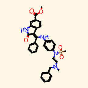 COC(=O)c1ccc2c(c1)NC(=O)C2=C(Nc1ccc(N(CCN(C)Cc2ccccc2)S(C)(=O)=O)cc1)c1ccccc1